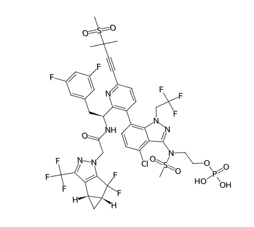 CC(C)(C#Cc1ccc(-c2ccc(Cl)c3c(N(CCOP(=O)(O)O)S(C)(=O)=O)nn(CC(F)(F)F)c23)c([C@H](Cc2cc(F)cc(F)c2)NC(=O)Cn2nc(C(F)(F)F)c3c2C(F)(F)[C@@H]2C[C@H]32)n1)S(C)(=O)=O